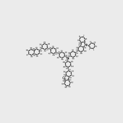 c1ccc(-n2c3ccccc3c3cc(-c4ccc(N(c5ccc(-c6ccc(-c7cccc(-c8ccc9ccccc9c8)c7)cc6)cc5)c5ccc(-c6ccc7c(c6)oc6ccccc67)cc5)cc4)ccc32)cc1